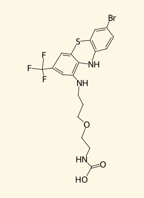 O=C(O)NCCOCCCNc1cc(C(F)(F)F)cc2c1Nc1ccc(Br)cc1S2